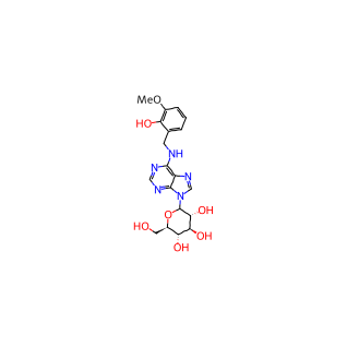 COc1cccc(CNc2ncnc3c2ncn3C2O[C@H](CO)[C@@H](O)[C@H](O)[C@H]2O)c1O